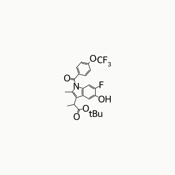 Cc1c(C(C)C(=O)OC(C)(C)C)c2cc(O)c(F)cc2n1C(=O)c1ccc(OC(F)(F)F)cc1